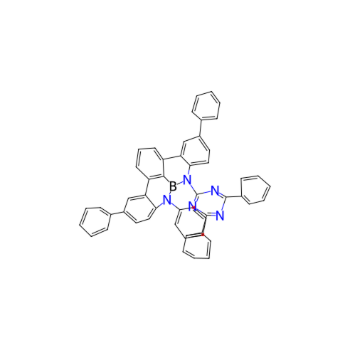 c1ccc(-c2ccc3c(c2)-c2cccc4c2B(N3c2ccccc2)N(c2nc(-c3ccccc3)nc(-c3ccccc3)n2)c2ccc(-c3ccccc3)cc2-4)cc1